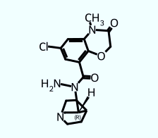 CN1C(=O)COc2c(C(=O)N(N)[C@H]3CN4CCC3CC4)cc(Cl)cc21